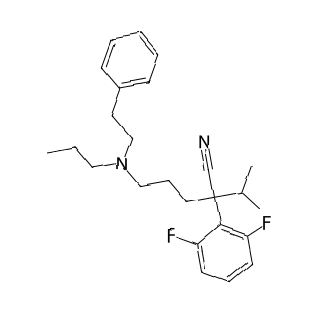 CCCN(CCCC(C#N)(c1c(F)cccc1F)C(C)C)CCc1ccccc1